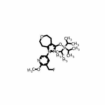 COc1ncc(-n2nc(O[Si](C(C)C)(C(C)C)C(C)C)c3c2CCOCC3)cc1CF